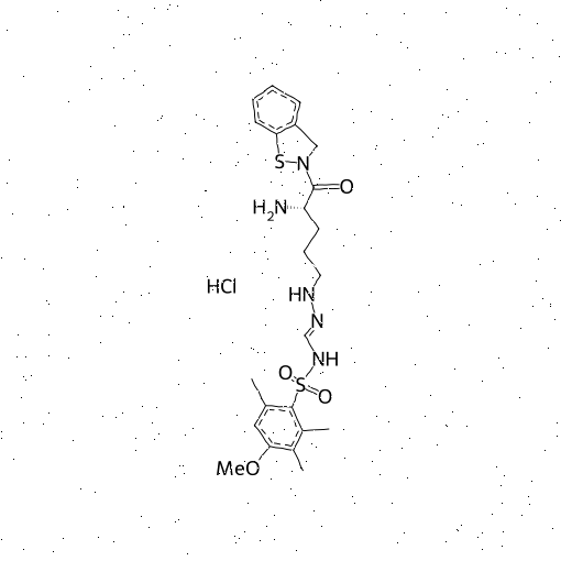 COc1cc(C)c(S(=O)(=O)NC=NNCCC[C@H](N)C(=O)N2Cc3ccccc3S2)c(C)c1C.Cl